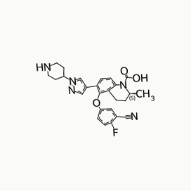 C[C@H]1CCc2c(ccc(-c3cnn(C4CCNCC4)c3)c2Oc2ccc(F)c(C#N)c2)N1C(=O)O